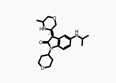 CC(C)Nc1ccc2c(c1)/C(=C1\COCC(C)N1)C(=O)N2C1CCOCC1